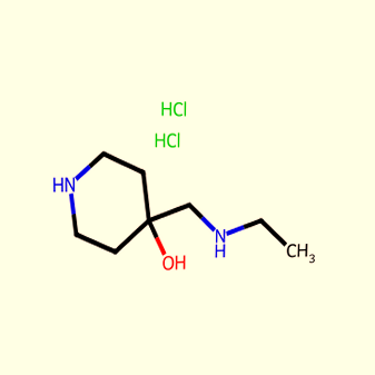 CCNCC1(O)CCNCC1.Cl.Cl